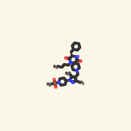 CCCCN1C(=O)[C@H](CC2CCCCC2)NC(=O)C12CCN(Cc1c(C)nn(C3CCN(S(C)(=O)=O)CC3)c1C)CC2